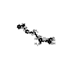 COc1cc(NC(=O)CCCCN(C)C(=O)CCN2CCC(OC(=O)Nc3ccsc3-c3ccccc3)CC2)c(Cl)cc1CNC[C@H](O)c1ccc(O)c2[nH]c(=O)ccc12